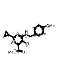 COC(=O)c1nc(C2CC2)nc(NCc2ccc(OC)cc2)c1Cl